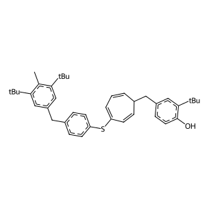 Cc1c(C(C)(C)C)cc(Cc2ccc(SC3=CC=CC(Cc4ccc(O)c(C(C)(C)C)c4)C=C3)cc2)cc1C(C)(C)C